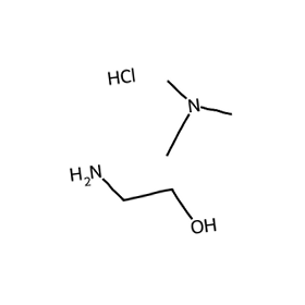 CN(C)C.Cl.NCCO